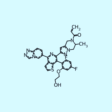 C=CC(=O)N1Cc2cc(-c3nc(-c4ccc5nncn5c4)c4ccsc4c3-c3c(F)cc(F)cc3OCCO)nn2CC1C